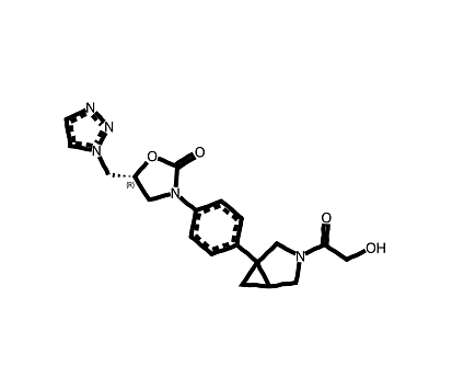 O=C(CO)N1CC2CC2(c2ccc(N3C[C@H](Cn4ccnn4)OC3=O)cc2)C1